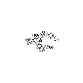 O=C(OCc1ccc(CO)cc1)N1CC(O)C(c2ccc(OC3CCNC3)cc2)C(OCc2ccc3c(c2)N(CCCO)CCO3)C1